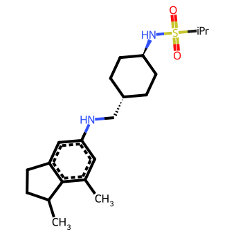 Cc1cc(NC[C@H]2CC[C@H](NS(=O)(=O)C(C)C)CC2)cc2c1C(C)CC2